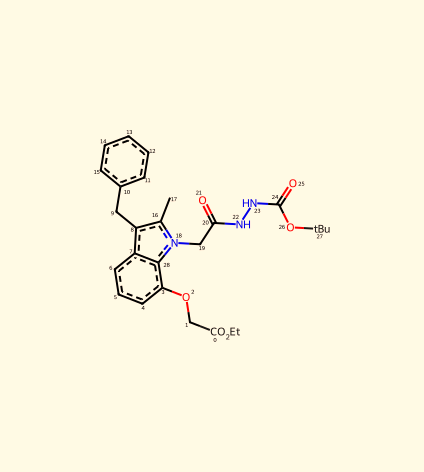 CCOC(=O)COc1cccc2c(Cc3ccccc3)c(C)n(CC(=O)NNC(=O)OC(C)(C)C)c12